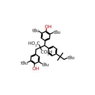 CC(C)(C)CC(C)(C)c1ccc(C(c2cc(C(C)(C)C)c(O)c(C(C)(C)C)c2)C(Cc2cc(C(C)(C)C)c(O)c(C(C)(C)C)c2)(C(=O)O)C(=O)O)cc1